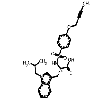 CC#CCOc1ccc(S(=O)(=O)N[C@@H](Cc2cn(CC(C)C)c3ccccc23)C(=O)O)cc1